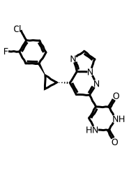 O=c1[nH]cc(-c2cc([C@@H]3C[C@H]3c3ccc(Cl)c(F)c3)c3nccn3n2)c(=O)[nH]1